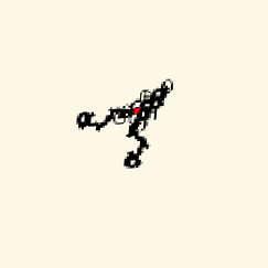 CC(C=CC1=C(C)CCCC1(C)C)=CC=CC(C)=CC(=O)OCC(=O)[C@@]1(OC(=O)C=C(C)C=CC=C(C)C=CC2=C(C)CCCC2(C)C)CC[C@H]2[C@@H]3CCC4=CC(=O)CC[C@]4(C)[C@H]3[C@@H](O)C[C@@]21C